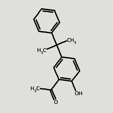 CC(=O)c1cc(C(C)(C)c2ccccc2)ccc1O